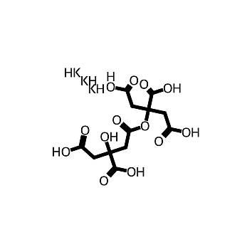 O=C(O)CC(O)(CC(=O)OC(CC(=O)O)(CC(=O)O)C(=O)O)C(=O)O.[KH].[KH].[KH]